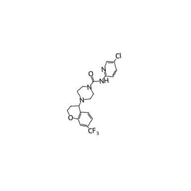 O=C(Nc1ccc(Cl)cn1)N1CCN(C2CCOc3cc(C(F)(F)F)ccc32)CC1